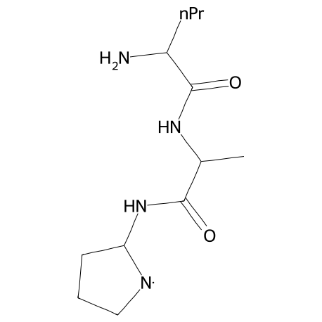 CCCC(N)C(=O)NC(C)C(=O)NC1CCC[N]1